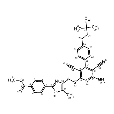 COC(=O)c1ccc(-c2nc(CSc3nc(N)c(C#N)c(-c4ccc(CCC(C)(C)O)cc4)c3C#N)c(C)o2)cc1